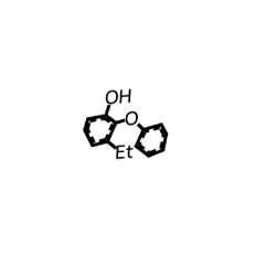 CCc1cccc(O)c1Oc1ccccc1